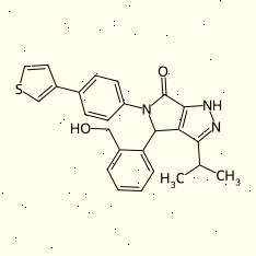 CC(C)c1n[nH]c2c1C(c1ccccc1CO)N(c1ccc(-c3ccsc3)cc1)C2=O